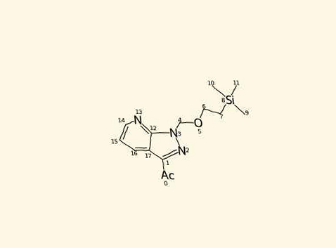 CC(=O)c1nn(COCC[Si](C)(C)C)c2ncccc12